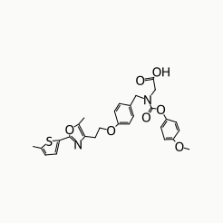 COc1ccc(OC(=O)N(CC(=O)O)Cc2ccc(OCCc3nc(-c4ccc(C)s4)oc3C)cc2)cc1